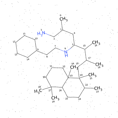 CC(CN)CC(NCCC1CCCCC1)C(C)C(C)CC1(C)C(C)CCC2C(C)(C)CCCC21C